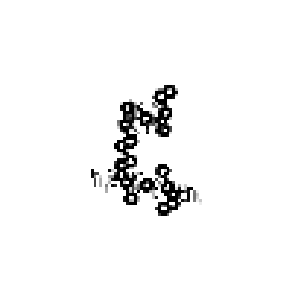 CC1(C)c2cc3c4ccccc4n(-c4cc(C#N)c(-n5c6ccccc6c6cc7c(cc65)-c5c(ccc6c(-c8cccc9c8ccc8sc%10c(ccc%11c%12ccccc%12n(-c%12cc(C#N)c(-n%13c%14ccccc%14c%14ccc%15c(sc%16ccc%17ccccc%17c%16%15)c%14%13)cc%12C#N)c%11%10)c89)cccc56)C7(C)C)cc4C#N)c3cc2-c2c1ccc1ccccc21